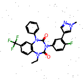 CCN1C(=O)N(c2ccc(F)c(-c3cnn(C)c3)c2)C(=O)N(c2ccccc2)c2cc(C(F)(F)F)ccc21